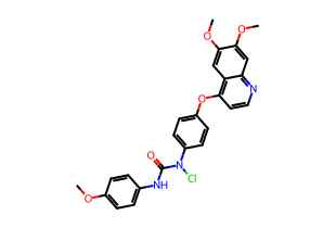 COc1ccc(NC(=O)N(Cl)c2ccc(Oc3ccnc4cc(OC)c(OC)cc34)cc2)cc1